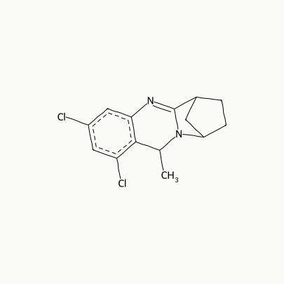 CC1c2c(Cl)cc(Cl)cc2N=C2C3CCC(C3)N21